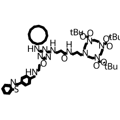 CC(C)(C)OC(=O)N1CCN(CCCNC(=O)CCNc2nc(NC3CCCCCCCCCCC3)nc(OCCNCc3ccc(-c4nc5ccccc5s4)cc3)n2)CCN(C(=O)OC(C)(C)C)CCN(C(=O)OC(C)(C)C)CC1